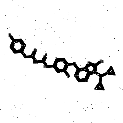 CCc1nc2c(Oc3ccc(NC(=S)NC(=O)Cc4ccc(F)cc4)cc3F)ncnc2n1C(C1CC1)C1CC1